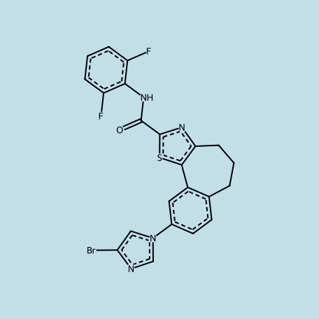 O=C(Nc1c(F)cccc1F)c1nc2c(s1)-c1cc(-n3cnc(Br)c3)ccc1CCC2